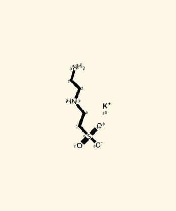 NCCNCCS(=O)(=O)[O-].[K+]